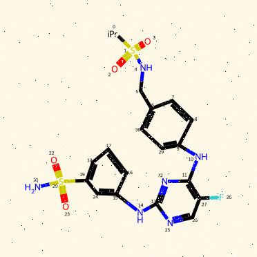 CC(C)S(=O)(=O)NCc1ccc(Nc2nc(Nc3cccc(S(N)(=O)=O)c3)ncc2F)cc1